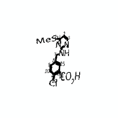 CSc1ccnc(NCc2ccc(Cl)c(C(=O)O)c2)n1